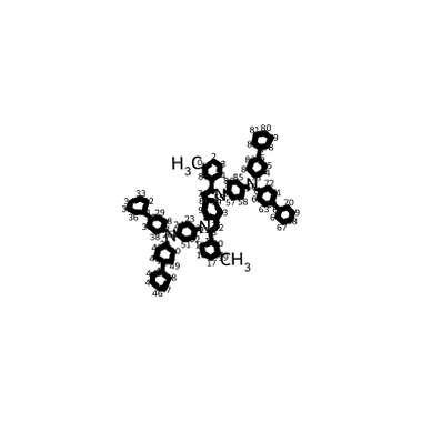 Cc1cccc(-c2cc3cc4c(cc(-c5cccc(C)c5)n4-c4ccc(N(c5ccc(-c6ccccc6)cc5)c5ccc(-c6ccccc6)cc5)cc4)cc3n2-c2ccc(N(c3ccc(-c4ccccc4)cc3)c3ccc(-c4ccccc4)cc3)cc2)c1